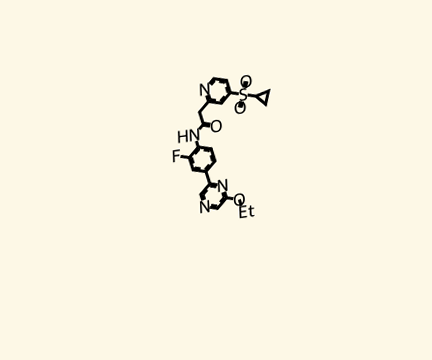 CCOc1cncc(-c2ccc(NC(=O)Cc3cc(S(=O)(=O)C4CC4)ccn3)c(F)c2)n1